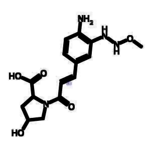 CONNc1cc(/C=C/C(=O)N2CC(O)CC2C(=O)O)ccc1N